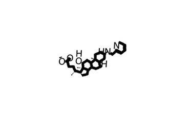 COC(=O)CC[C@@H](C)[C@H]1CCC2C3CC[C@@H]4C[C@H](NCc5ccccn5)CC[C@]4(C)C3C[C@H](O)[C@@]21C